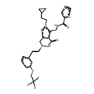 O=C(NCc1c2c(nn1CCC1CC1)C[C@H](CCc1cccc(OCC(F)(F)F)c1)NC2=O)c1cnco1